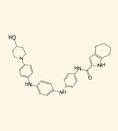 O=C(Nc1ccc(Nc2ccc(Nc3ccc(N4CCC(O)CC4)cc3)cc2)cc1)c1cc2c([nH]1)CCCC2